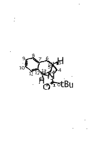 CC(C)(C)C(=O)N1C[C@H]2Cc3ccccc3[C@@H]1C2